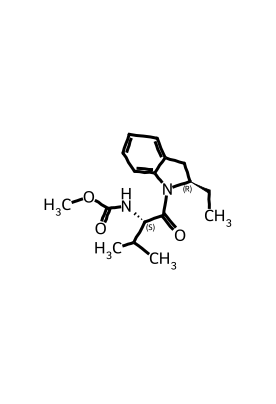 CC[C@@H]1Cc2ccccc2N1C(=O)[C@@H](NC(=O)OC)C(C)C